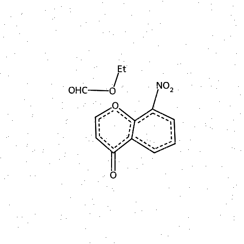 CCOC=O.O=c1ccoc2c([N+](=O)[O-])cccc12